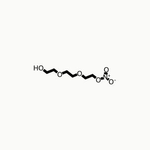 O=[N+]([O-])OCCOCCOCCO